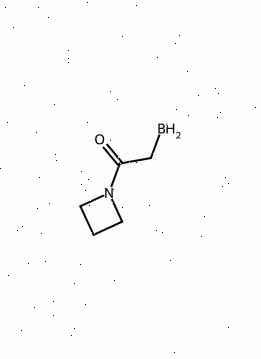 BCC(=O)N1CCC1